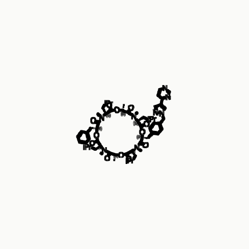 CC(C)C[C@H]1C(=O)O[C@H](Cc2ccc(Cn3cc(-c4ccncn4)cn3)cc2)C(=O)N(C)[C@@H](CC(C)C)C(=O)O[C@H](C)C(=O)N(C)[C@@H](CC(C)C)C(=O)O[C@H](Cc2ccccc2)C(=O)N(C)[C@@H](CC(C)C)C(=O)O[C@H](C)C(=O)N1C